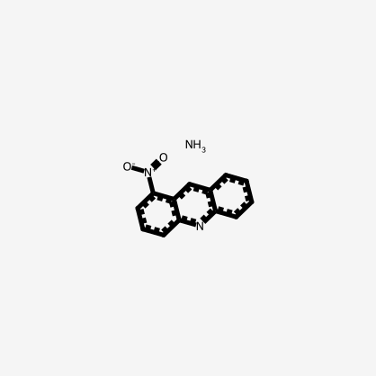 N.O=[N+]([O-])c1cccc2nc3ccccc3cc12